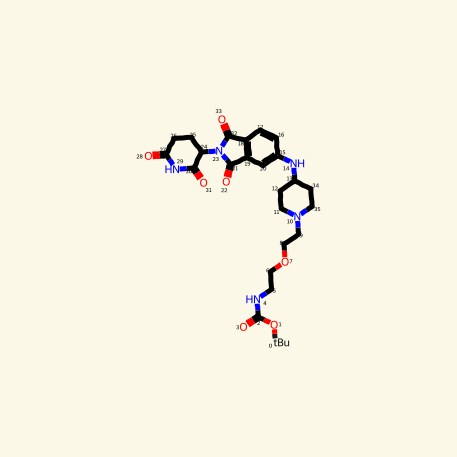 CC(C)(C)OC(=O)NCCOCCN1CCC(Nc2ccc3c(c2)C(=O)N(C2CCC(=O)NC2=O)C3=O)CC1